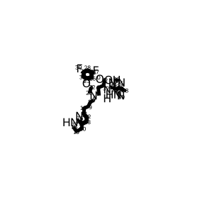 O=C(O)C(CCN(CCCCc1ccc2c(n1)NCCC2)CCOc1cc(F)cc(F)c1)Nc1ncnc2cn[nH]c12